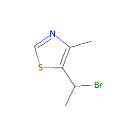 Cc1ncsc1C(C)Br